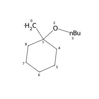 [CH2]C1(OCCCC)CCCCC1